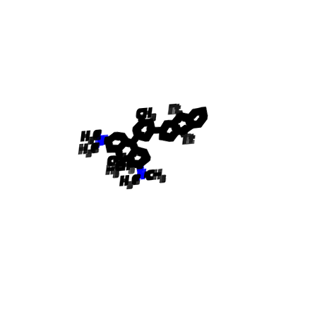 CCc1c2ccccc2c(CC)c2cc(-c3cc(C)cc(C4=C5C=CC(=[N+](C)C)C=C5[Si](C)(C)c5cc(N(C)C)ccc54)c3)ccc12